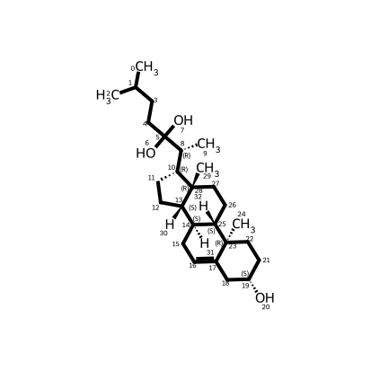 CC(C)CCC(O)(O)[C@H](C)[C@H]1CC[C@H]2[C@@H]3CC=C4C[C@@H](O)CC[C@]4(C)[C@H]3CC[C@@]12C